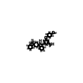 CNc1nc(CNC2(c3ccccc3)CCC(c3ccccc3)(N(C)C)CC2)nc(Oc2ccc(OC)cc2)n1